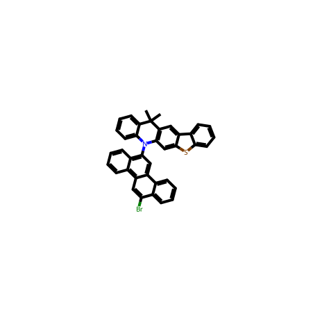 CC1(C)c2ccccc2N(c2cc3c4ccccc4c(Br)cc3c3ccccc23)c2cc3sc4ccccc4c3cc21